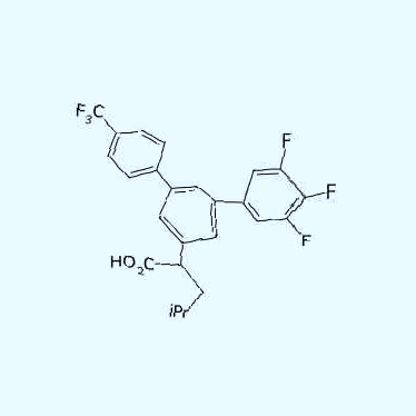 CC(C)CC(C(=O)O)c1cc(-c2ccc(C(F)(F)F)cc2)cc(-c2cc(F)c(F)c(F)c2)c1